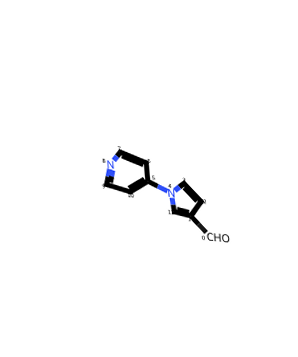 O=Cc1ccn(-c2ccncc2)c1